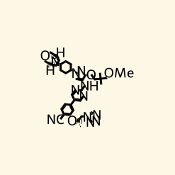 COCC(C)(C)COc1nn([C@H]2CC[C@H](N3[C@@H]4CC[C@H]3COC4)CC2)cc1Nc1ncc(-c2ccc(C#N)c(O[C@@H](C)Cn3cnnn3)c2)cn1